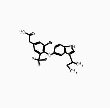 CCC(C)c1c[nH]c2ccc(Oc3c(Br)cc(CC(=O)O)cc3C(F)(F)F)cc12